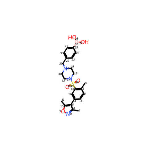 Cc1ccc(-c2c(C)noc2C)cc1S(=O)(=O)N1CCN(Cc2ccc(B(O)O)cc2)CC1